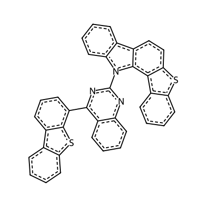 c1ccc2c(-c3cccc4c3sc3ccccc34)nc(-n3c4ccccc4c4ccc5sc6ccccc6c5c43)nc2c1